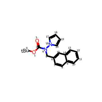 CC(C)(C)OC(=O)N(Cc1ccc2ccccc2c1)n1cccc1